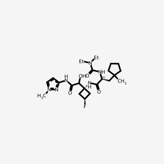 CCN(CC)C(=O)N[C@@H](CC1(C)CCCC1)C(=O)N[C@]1(C(O)C(=O)Nc2ccn(C)n2)C[C@@H](F)C1